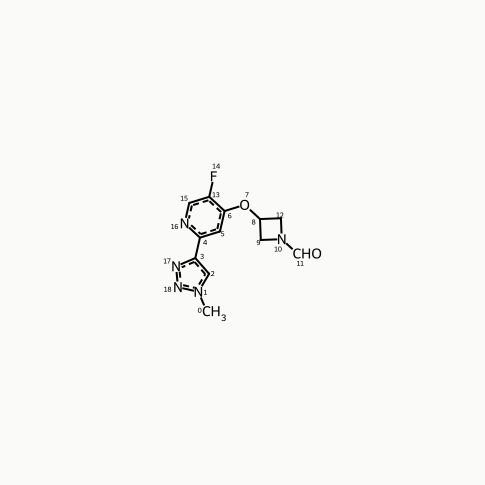 Cn1cc(-c2cc(OC3CN(C=O)C3)c(F)cn2)nn1